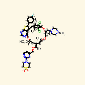 CC/C(OCc1ccnc(N2CCS(=O)(=O)CC2)n1)=C1\C=C(/C)OC[C@@H](CN2CCN(C)CC2)Oc2c(Cl)c(C)c(c(C)c2Cl)-c2c(-c3ccc(F)cc3)sc3ncnc(c23)O[C@@H](C(=O)O)C1